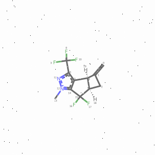 C=C1C[C@@H]2[C@H]1c1c(C(F)(F)F)nn(C)c1C2(F)F